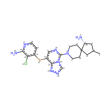 CC1C[C@@H](N)C2(CCN(c3ncc(Sc4ccnc(N)c4Cl)c4nncn34)CC2)C1